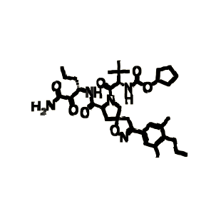 CCCc1c(C)cc(C2=NO[C@]3(C2)C[C@@H](C(=O)N[C@@H](CCC)C(=O)C(N)=O)N(C(=O)[C@@H](NC(=O)OC2CCCC2)C(C)(C)C)C3)cc1C